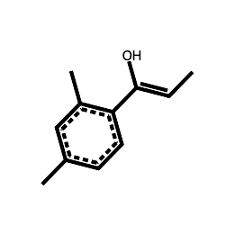 C/C=C(\O)c1ccc(C)cc1C